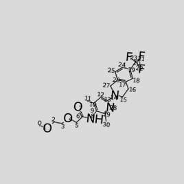 COCCOCC(=O)Nc1c(C)cc(N2CCc3cc(C(F)(F)F)ccc3C2)nc1C